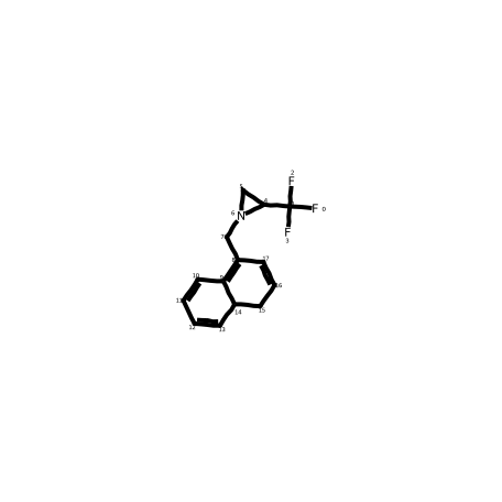 FC(F)(F)C1CN1CC1=C2C=CC=CC2CC=C1